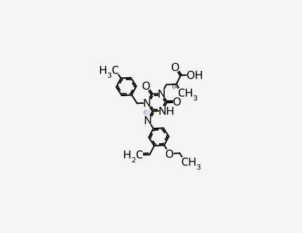 C=Cc1cc(/N=c2\[nH]c(=O)n(C[C@H](C)C(=O)O)c(=O)n2Cc2ccc(C)cc2)ccc1OCC